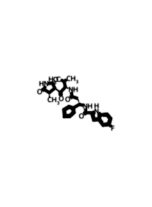 CC(C)[C@H](NC(=O)C[C@H](NC(=O)c1cc2cc(F)ccc2[nH]1)c1ccccc1)C(=O)[C@@H]1C(=O)NC(=O)[C@H]1C